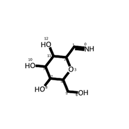 N=CC1OC(CO)C(O)C(O)C1O